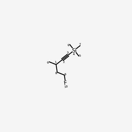 CC(C#C[Si](C)(C)C)CCF